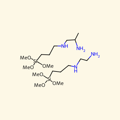 CO[Si](CCCNCC(C)N)(OC)OC.CO[Si](CCCNCCN)(OC)OC